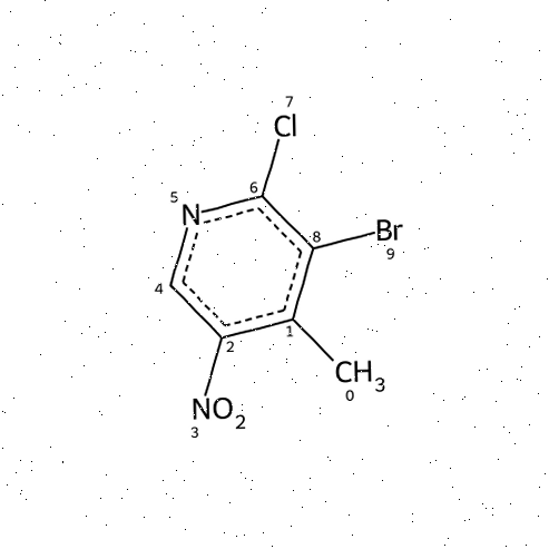 Cc1c([N+](=O)[O-])cnc(Cl)c1Br